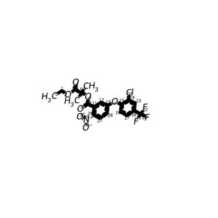 CCOC(=O)C(C)(C)OC(=O)c1cc(Oc2ccc(C(F)(F)F)cc2Cl)ccc1[N+](=O)[O-]